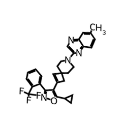 Cc1ccc2nc(N3CCC4(C=C(c5c(-c6ccccc6C(F)(F)F)noc5C5CC5)C4)CC3)cnc2c1